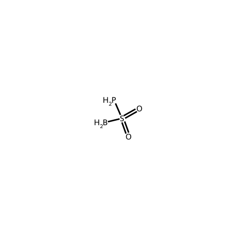 BS(=O)(=O)P